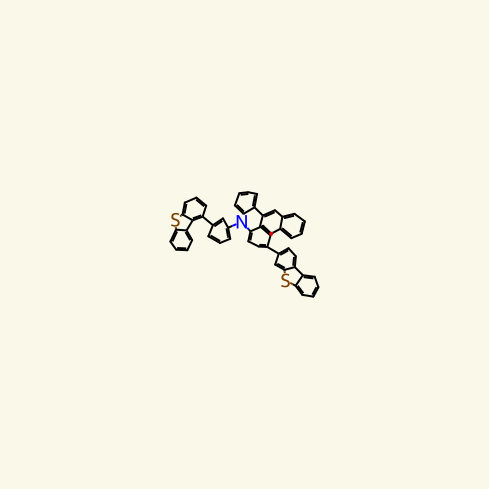 c1cc(-c2cccc3sc4ccccc4c23)cc(N(c2ccc(-c3ccc4c(c3)sc3ccccc34)cc2)c2ccccc2-c2ccc3ccccc3c2)c1